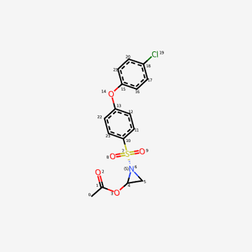 CC(=O)OC1C[N@@]1S(=O)(=O)c1ccc(Oc2ccc(Cl)cc2)cc1